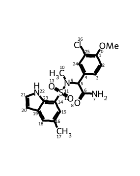 COc1ccc(C(C(N)=O)N(C)S(=O)(=O)c2cc(C)cc3cc[nH]c23)cc1Cl